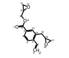 C=Cc1ccc(C(=O)OCC2CO2)cc1CC1CO1